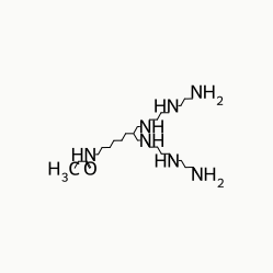 CCC(=O)NCCCCCCC(CNCCCCNCCCN)CNCCCCNCCCN